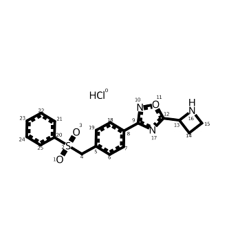 Cl.O=S(=O)(Cc1ccc(-c2noc(C3CCN3)n2)cc1)c1ccccc1